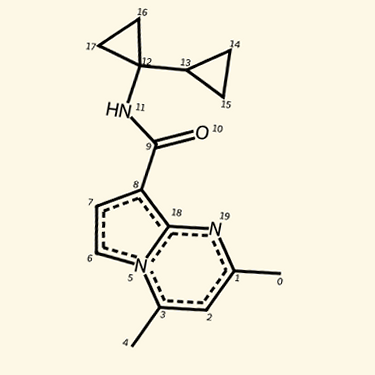 Cc1cc(C)n2ccc(C(=O)NC3(C4CC4)CC3)c2n1